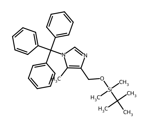 Cc1c(CO[Si](C)(C)C(C)(C)C)ncn1C(c1ccccc1)(c1ccccc1)c1ccccc1